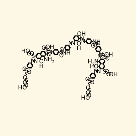 Nc1c(/N=N/c2ccc(S(=O)(=O)Nc3ccc(N=Nc4c(O)ccc(N=Nc5ccc(NS(=O)(=O)c6ccc(/N=N/c7c(S(=O)(=O)O)cc8cc(SOOO)c(/N=N/c9ccc(S(=O)(=O)CCOSOOO)cc9)c(O)c8c7N)cc6)cc5)c4O)cc3)cc2)c(S(=O)(=O)O)cc2cc(SOOO)c(N=Nc3ccc(S(=O)(=O)CCOSOOO)cc3)c(O)c12